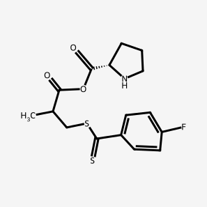 CC(CSC(=S)c1ccc(F)cc1)C(=O)OC(=O)[C@@H]1CCCN1